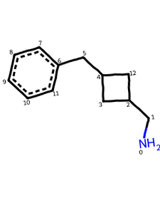 NCC1CC(Cc2ccccc2)C1